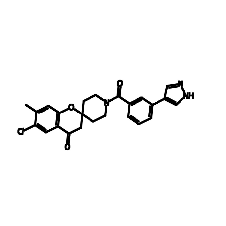 Cc1cc2c(cc1Cl)C(=O)CC1(CCN(C(=O)c3cccc(-c4cn[nH]c4)c3)CC1)O2